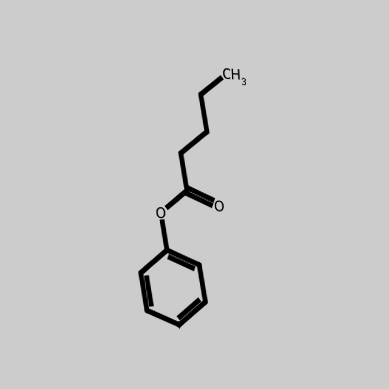 CCCCC(=O)Oc1cc[c]cc1